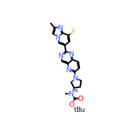 Cc1cn2cc(-c3ncc4nc(N5CC[C@@H](N(C)C(=O)OC(C)(C)C)C5)ccc4n3)cc(F)c2n1